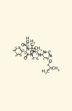 CC(C)COc1cc(N2CCN(C(=O)C(c3ccccc3)N(C(=O)O)C(C)(C)C)CC2)ncn1